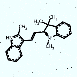 Cc1[nH]c2ccccc2c1/C=C/C1=[N+](C)c2ccccc2C1(C)C